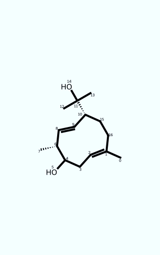 C/C1=C\CC(O)[C@H](C)/C=C/[C@H](C(C)(C)O)CC1